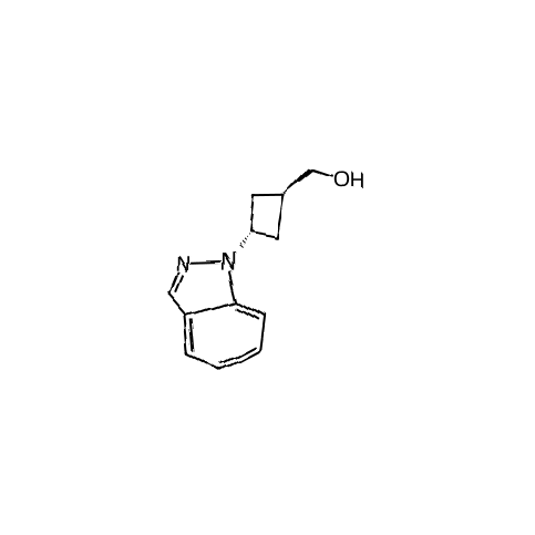 OC[C@H]1C[C@H](n2ncc3ccccc32)C1